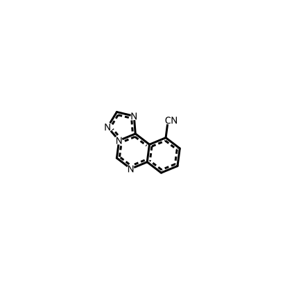 N#Cc1cccc2ncn3ncnc3c12